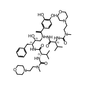 C=C(c1ccc(O)c(O)c1)N(C[C@H](O)[C@H](Cc1ccccc1)NC(=O)[C@@H](NC(=O)N(C)CCN1CCOCC1)C(C)C)NC(=O)[C@@H](NC(=O)N(C)CCN1CCOCC1)C(C)C